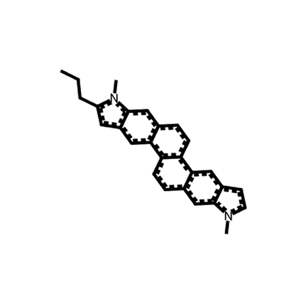 CCCc1cc2cc3c(ccc4c5cc6ccn(C)c6cc5ccc34)cc2n1C